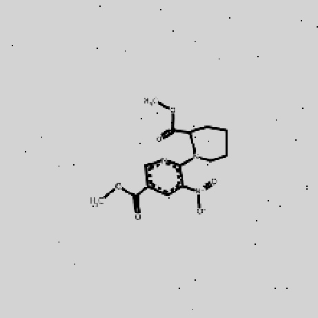 COC(=O)c1cnc(N2CCCCC2C(=O)OC)c([N+](=O)[O-])c1